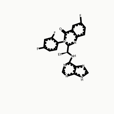 CC[C@H](Nc1ncnc2[nH]cnc12)c1nc2ccc(F)cc2c(=O)n1-c1ccc(F)cc1F